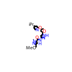 COCc1cc(C(=O)Nc2cc(C3CC(Oc4cc(C(C)C)ccn4)CO3)[nH]n2)n(C)n1